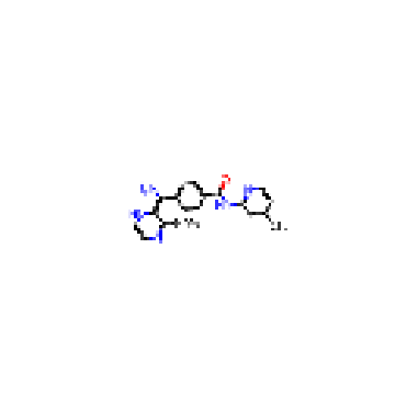 CNC1=NC=CN/C1=C(\N)c1ccc(C(=O)Nc2cc(C(F)(F)F)ccn2)cc1